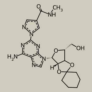 CNC(=O)c1cnn(-c2nc(N)c3ncn([C@@H]4O[C@H](CO)C5OC6(CCCCC6)O[C@@H]54)c3n2)c1